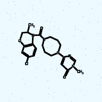 CC1COc2cc(Cl)ccc2N1C(=O)N1CCCN(c2cc(=O)n(C)cn2)CCC1